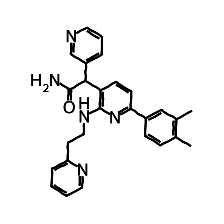 Cc1ccc(-c2ccc(C(C(N)=O)c3cccnc3)c(NCCc3ccccn3)n2)cc1C